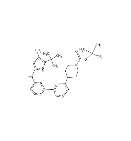 Cc1cc(Nc2cccc(-c3cccc(C4CCN(C(=O)OC(C)(C)C)CC4)c3)n2)nn1C(C)(C)C